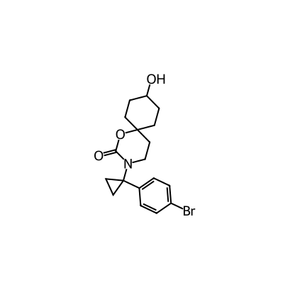 O=C1OC2(CCC(O)CC2)CCN1C1(c2ccc(Br)cc2)CC1